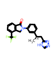 C[C@H](Cc1nnc[nH]1)c1cccc(N2Cc3c(cccc3C(F)(F)F)C2=O)c1